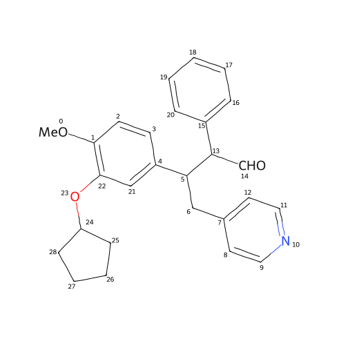 COc1ccc(C(Cc2ccncc2)C(C=O)c2ccccc2)cc1OC1CCCC1